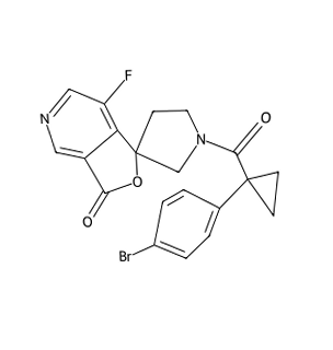 O=C1OC2(CCN(C(=O)C3(c4ccc(Br)cc4)CC3)C2)c2c(F)cncc21